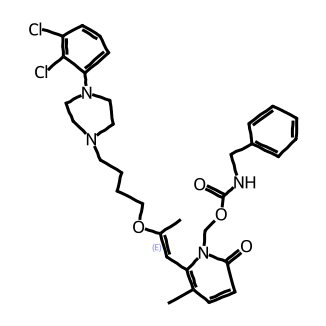 C/C(=C\c1c(C)ccc(=O)n1COC(=O)NCc1ccccc1)OCCCCN1CCN(c2cccc(Cl)c2Cl)CC1